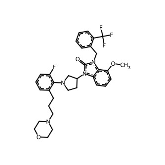 COc1cccc2c1n(Cc1ccccc1C(F)(F)F)c(=O)n2C1CCN(c2c(F)cccc2CCCN2CCOCC2)C1